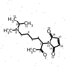 CC(=O)C(CCCCN(C)C(C)C)N1C(=O)C=CC1=O